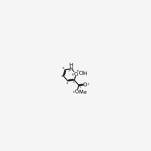 COC(=O)C1=CC=CNO1.Cl